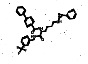 O=C(N[C@@H](CCCCNC1CC1c1ccccc1)C(=O)NCc1cccc(C(F)(F)F)c1)c1ccc(-c2ccccc2)cc1